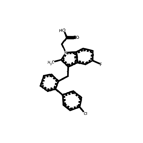 Cc1c(Cc2ccccc2-c2ccc(Cl)cc2)c2cc(F)ccc2n1CC(=O)O